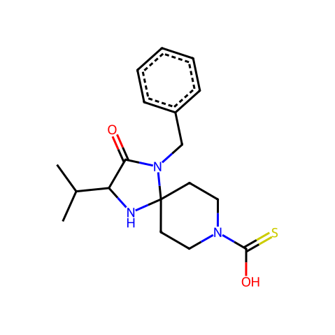 CC(C)C1NC2(CCN(C(O)=S)CC2)N(Cc2ccccc2)C1=O